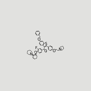 O=C(c1ccc(O[C@H]2CCCC[C@@H]2N2CCCCC2)c(F)c1)c1c(-c2ccc(OCCN3CCCC3)cc2)sc2cc(OCc3ccccc3)ccc12